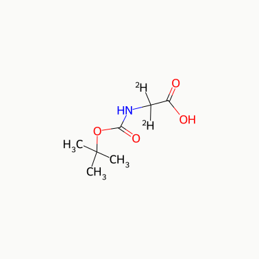 [2H]C([2H])(NC(=O)OC(C)(C)C)C(=O)O